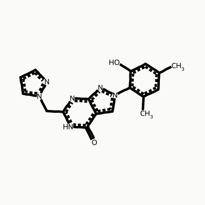 Cc1cc(C)c(-n2cc3c(=O)[nH]c(Cn4cccn4)nc3n2)c(O)c1